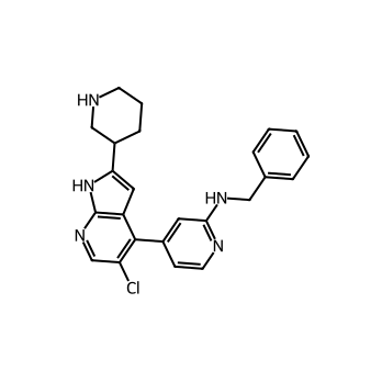 Clc1cnc2[nH]c(C3CCCNC3)cc2c1-c1ccnc(NCc2ccccc2)c1